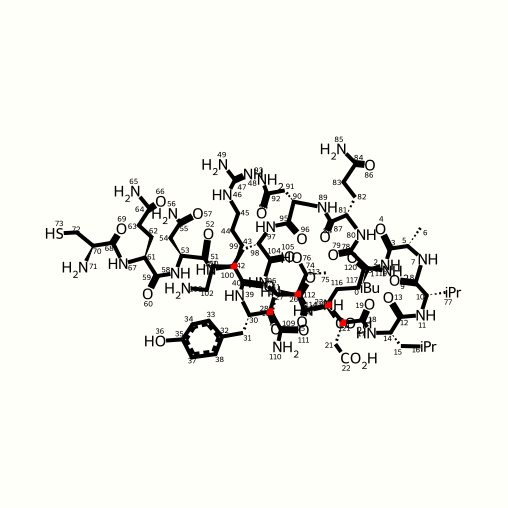 CC[C@H](C)[C@H](NC(=O)[C@H](C)NC(=O)[C@@H](NC(=O)[C@H](CC(C)C)NC(=O)[C@H](CC(=O)O)NC(=O)[C@@H](NC(=O)[C@H](Cc1ccc(O)cc1)NC(=O)[C@H](CCCNC(=N)N)NC(=O)[C@H](CC(N)=O)NC(=O)[C@H](CCC(N)=O)NC(=O)[C@@H](N)CS)[C@@H](C)O)C(C)C)C(=O)N[C@@H](CCC(N)=O)C(=O)N[C@@H](CC(N)=O)C(=O)N[C@@H](CCCCN)C(=O)N[C@@H](CC(N)=O)C(=O)N[C@@H](CCC(N)=O)C(=O)O